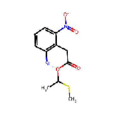 CSC(C)OC(=O)Cc1c(N)cccc1[N+](=O)[O-]